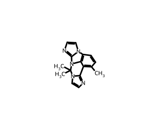 Cc1ccc2c3c1-c1nccn1C(C)(C)n3c1nccn21